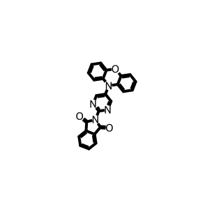 O=C1c2ccccc2C(=O)N1c1ncc(N2c3ccccc3Oc3ccccc32)cn1